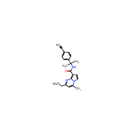 C#Cc1ccc(C(C)(C)NC(=O)c2ccn3c(C)cc(COC)nc23)cc1